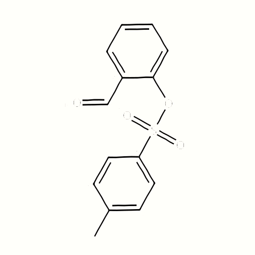 Cc1ccc(S(=O)(=O)Oc2ccccc2[C]=O)cc1